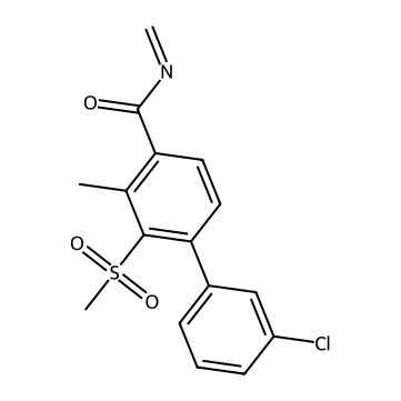 C=NC(=O)c1ccc(-c2cccc(Cl)c2)c(S(C)(=O)=O)c1C